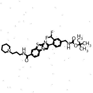 CC(C)(C)OC(=O)NCc1ccc(-c2cn3c(n2)sc2cc(C(=O)NCCCN4CCCCC4)ccc23)c(C(F)F)c1